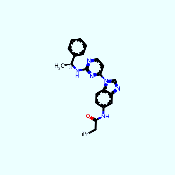 CC(C)CC(=O)Nc1ccc2c(c1)ncn2-c1ccnc(N[C@@H](C)c2ccccc2)n1